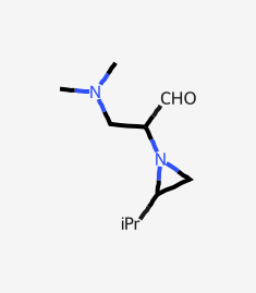 CC(C)C1CN1C(C=O)CN(C)C